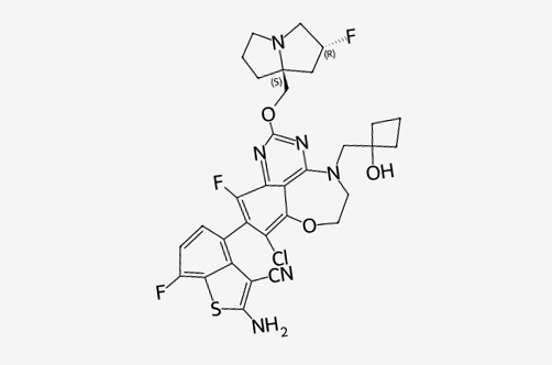 N#Cc1c(N)sc2c(F)ccc(-c3c(Cl)c4c5c(nc(OC[C@@]67CCCN6C[C@H](F)C7)nc5c3F)N(CC3(O)CCC3)CCO4)c12